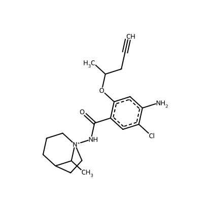 C#CCC(C)Oc1cc(N)c(Cl)cc1C(=O)N[N+]12CCCC(CC1)C2C